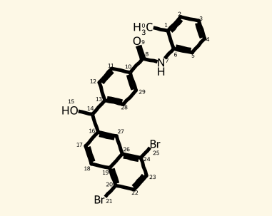 Cc1ccccc1NC(=O)c1ccc(C(O)c2ccc3c(Br)ccc(Br)c3c2)cc1